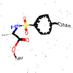 CCCCOC(=O)[C@H](C)NS(=O)(=O)c1ccc(OC)cc1